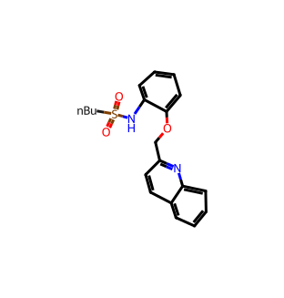 CCCCS(=O)(=O)Nc1ccccc1OCc1ccc2ccccc2n1